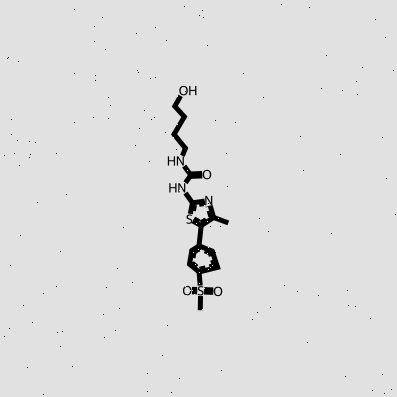 Cc1nc(NC(=O)NCCCCO)sc1-c1ccc(S(C)(=O)=O)cc1